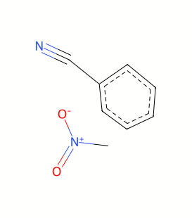 C[N+](=O)[O-].N#Cc1ccccc1